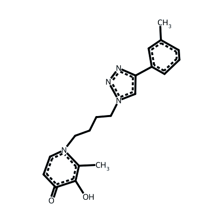 Cc1cccc(-c2cn(CCCCn3ccc(=O)c(O)c3C)nn2)c1